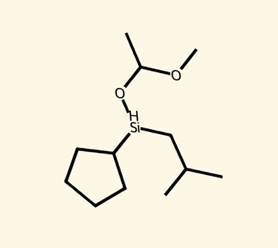 COC(C)O[SiH](CC(C)C)C1CCCC1